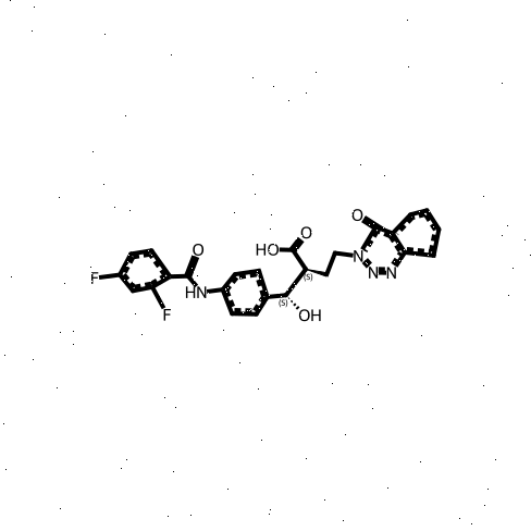 O=C(Nc1ccc([C@@H](O)[C@H](CCn2nnc3ccccc3c2=O)C(=O)O)cc1)c1ccc(F)cc1F